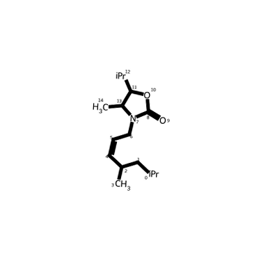 CC(C)CC(C)/C=C\CN1C(=O)OC(C(C)C)C1C